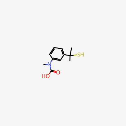 CN(C(=O)O)c1cccc(C(C)(C)S)c1